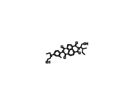 CCC(C)C(CO)N1C(=O)c2ccc3c4c(ccc(c24)C1=O)C(=O)N(c1ccc(N(CC)CCO)cc1C)C3=O